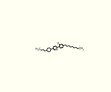 CCCCCCCCCc1ccc(-c2ccc(C3CCC(CCCC)CC3)cn2)c(F)c1